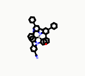 N#Cc1ccc2c3ccc(C#N)c4c3n(c2c1)-c1ccccc1B4n1c2c(-c3ccccc3)cc(-c3ccccc3)cc2c2cc(-c3ccccc3)cc(-c3ccccc3)c21